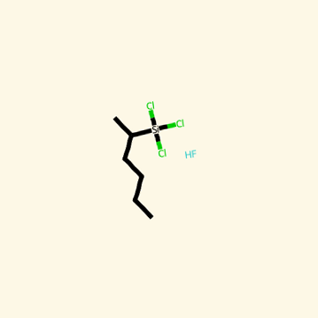 CCCCC(C)[Si](Cl)(Cl)Cl.F